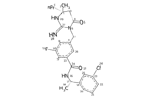 CCC[C@]1(C)CC(=O)N(Cc2cc(F)cc(C(=O)N[C@@H](C)c3cccc(Cl)c3)c2)C(=N)N1